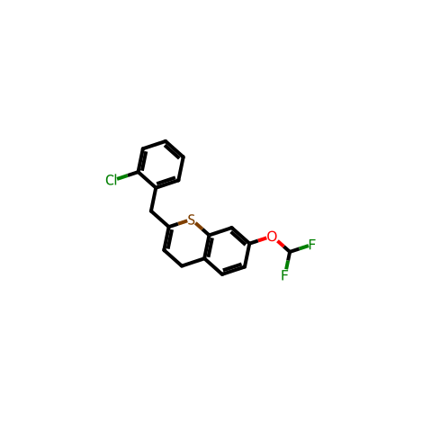 FC(F)Oc1ccc2c(c1)SC(Cc1ccccc1Cl)=CC2